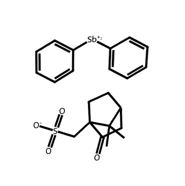 CC1(C)C2CCC1(CS(=O)(=O)[O-])C(=O)C2.c1cc[c]([Sb+][c]2ccccc2)cc1